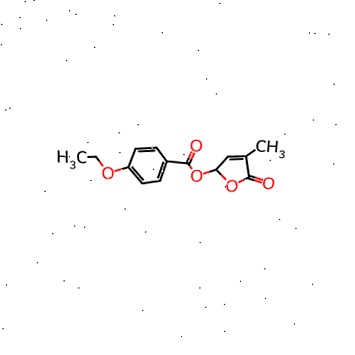 CCOc1ccc(C(=O)OC2C=C(C)C(=O)O2)cc1